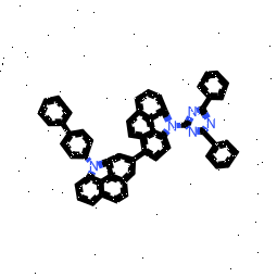 c1ccc(-c2ccc(-n3c4cccc5ccc6cc(-c7ccc8c9c7ccc7cccc(c79)n8-c7nc(-c8ccccc8)nc(-c8ccccc8)n7)cc3c6c54)cc2)cc1